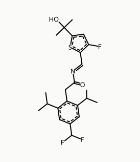 CC(C)c1cc(C(F)F)cc(C(C)C)c1CC(=O)N=Cc1sc(C(C)(C)O)cc1F